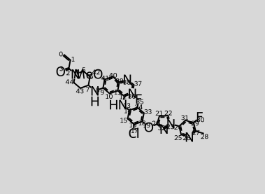 C=CC(=O)N1CCC(Nc2cc3c(Nc4cc(Cl)c(Oc5ccn(-c6cnc(C)c(F)c6)n5)cc4F)ncnc3cc2OC)CC1